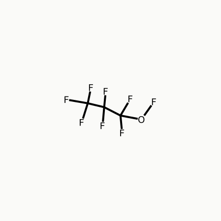 FOC(F)(F)C(F)(F)C(F)(F)F